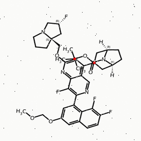 COCOc1cc(-c2ncc3c(N4C[C@H]5CC[C@@H](C4)N5C(=O)OC(C)(C)C)nc(OC[C@@]45CCCN4C[C@H](F)C5)nc3c2F)c2c(F)c(F)ccc2c1